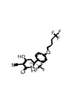 N#CC1=C(O)C[C@](c2ccc(OCCCC(F)(F)F)cc2)(C(F)(F)F)NC1=O